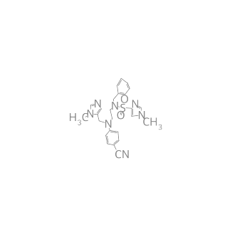 Cn1cnc(S(=O)(=O)N(CCN(Cc2cncn2C)c2ccc(C#N)cc2)Cc2ccccc2)c1